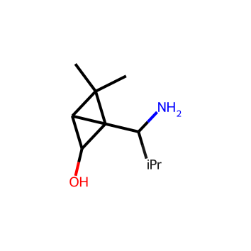 CC(C)C(N)C12C(O)C1C2(C)C